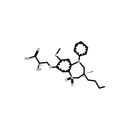 CCCC[C@]1(C)CN(c2ccccc2)c2cc(SC)c(OC[C@@H](O)C(=O)O)cc2S(=O)(=O)C1